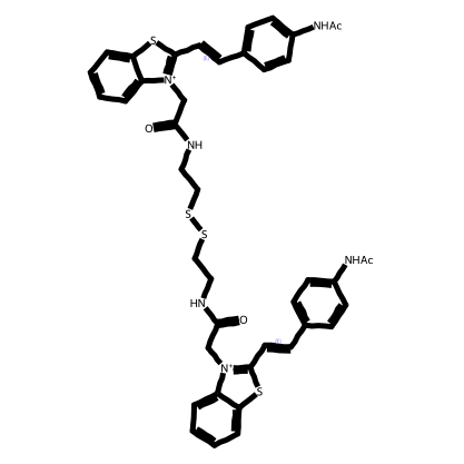 CC(=O)Nc1ccc(/C=C/c2sc3ccccc3[n+]2CC(=O)NCCSSCCNC(=O)C[n+]2c(/C=C/c3ccc(NC(C)=O)cc3)sc3ccccc32)cc1